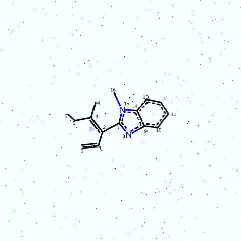 C=C/C(=C(/C)CC)c1nc2ccccc2n1C